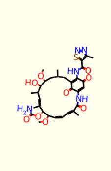 COC1/C=C\C=C(/C)C(=O)NC2=CC(=O)C(NC(=O)c3snnc3C)=C(CC(C)CC(OC)C(O)C(C)/C=C(\C)C1OC(N)=O)C2=O